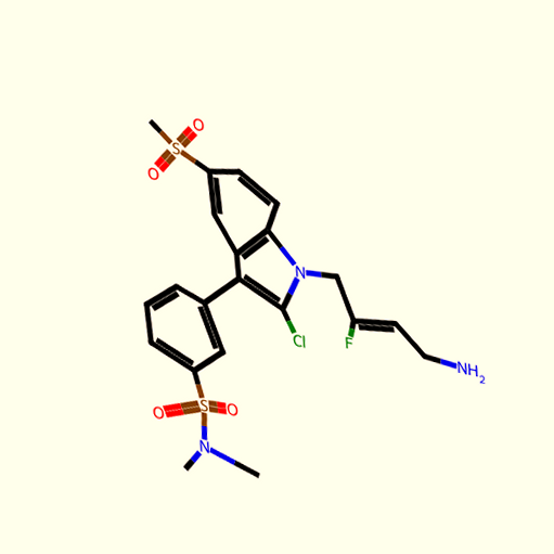 CN(C)S(=O)(=O)c1cccc(-c2c(Cl)n(C/C(F)=C/CN)c3ccc(S(C)(=O)=O)cc23)c1